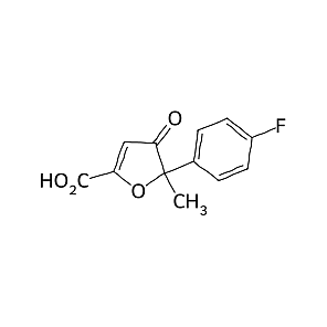 CC1(c2ccc(F)cc2)OC(C(=O)O)=CC1=O